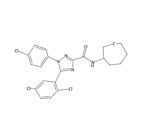 O=C(NC1CCCCCC1)c1nc(-c2cc(Cl)ccc2Cl)n(-c2ccc(Cl)cc2)n1